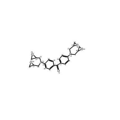 O=C(c1ccc(N(CC2CO2)CC2CO2)cc1)c1ccc(N(CC2CO2)CC2CO2)cc1